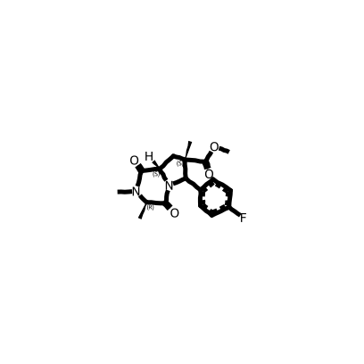 COC(=O)[C@@]1(C)C[C@H]2C(=O)N(C)[C@H](C)C(=O)N2C1c1ccc(F)cc1